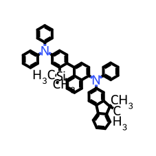 CC1(C)c2ccccc2-c2ccc(N(c3ccccc3)c3ccc4c5c(cccc35)[Si](C)(C)c3cc(N(c5ccccc5)c5ccccc5)ccc3-4)cc21